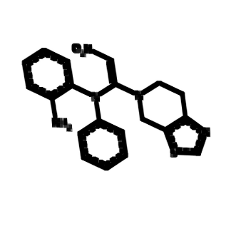 Nc1ccccc1N(C(=C[N+](=O)[O-])N1CCc2ncsc2C1)c1ccccc1